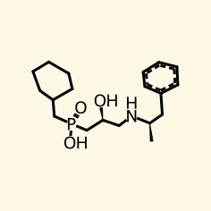 C[C@H](Cc1ccccc1)NC[C@H](O)CP(=O)(O)CC1CCCCC1